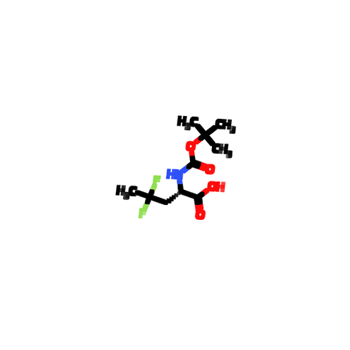 CC(F)(F)C[C@H](NC(=O)OC(C)(C)C)C(=O)O